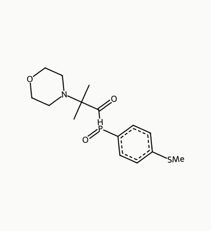 CSc1ccc([PH](=O)C(=O)C(C)(C)N2CCOCC2)cc1